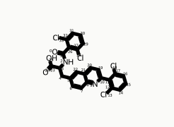 O=C(NC(Cc1ccc2nc(-c3c(Cl)cccc3Cl)ccc2c1)C(=O)O)c1c(Cl)cccc1Cl